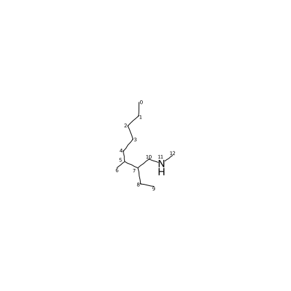 CCCCCC(C)C(CC)CNC